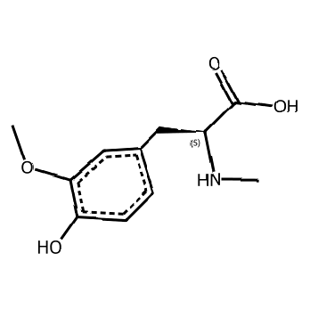 CN[C@@H](Cc1ccc(O)c(OC)c1)C(=O)O